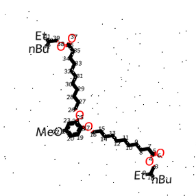 CCCCC(CC)COC(=O)CCCCCCCCCCOc1ccc(OC)cc1OCCCCCCCCCCC(=O)OCC(CC)CCCC